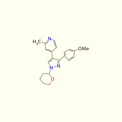 COc1ccc(-c2nn(C3CCCCO3)cc2-c2ccnc(C)c2)cc1